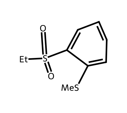 CCS(=O)(=O)c1ccccc1SC